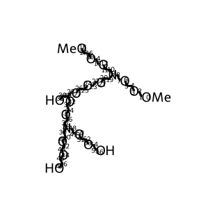 COCCOCCOCCN(CCOCCOCCOC)CCOCCOCCOCC(CO)OCCOCCN(CCOCCOCCO)CCOCCOCCO